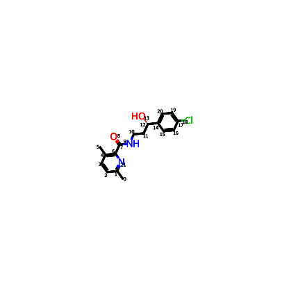 Cc1ccc(C)c(C(=O)NCC[C@H](O)c2ccc(Cl)cc2)n1